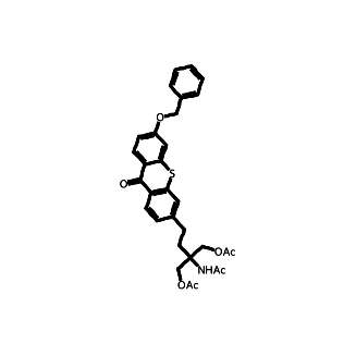 CC(=O)NC(CCc1ccc2c(=O)c3ccc(OCc4ccccc4)cc3sc2c1)(COC(C)=O)COC(C)=O